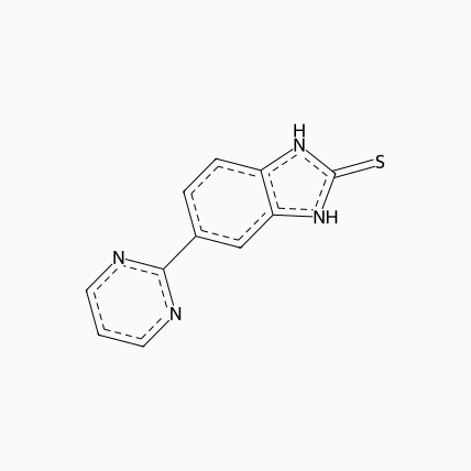 S=c1[nH]c2ccc(-c3ncccn3)cc2[nH]1